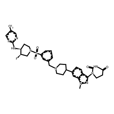 Cn1nc(N2CCC(=O)NC2=O)c2ccc(C3CCN(Cc4cccc(S(=O)(=O)N5CC[C@H](Nc6ncc(C(F)(F)F)cn6)[C@H](F)C5)c4)CC3)cc21